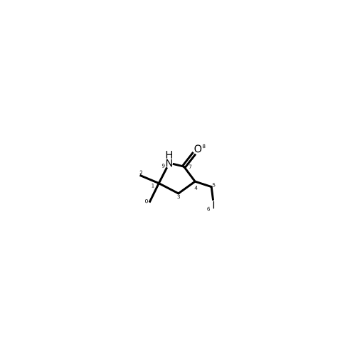 CC1(C)CC(CI)C(=O)N1